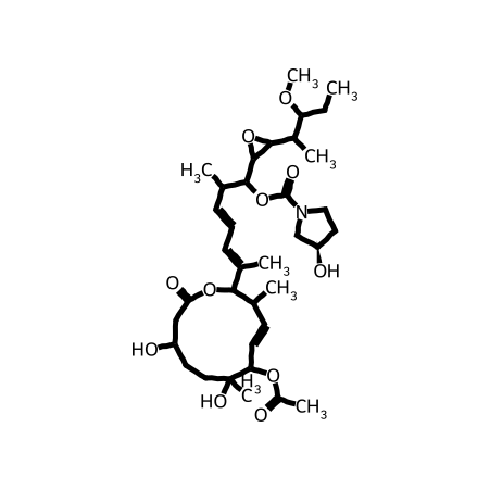 CCC(OC)C(C)C1OC1C(OC(=O)N1CC[C@@H](O)C1)C(C)/C=C/C=C(\C)C1OC(=O)CC(O)CCC(C)(O)C(OC(C)=O)/C=C/C1C